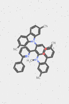 CN(c1cc(C#N)ccc1-c1ccc(C#N)cc1)c1cc(C(F)(F)F)cc(-n2c3cc(C#N)ccc3c3ccc(C#N)cc32)c1-c1cccc(-c2ccccc2)n1